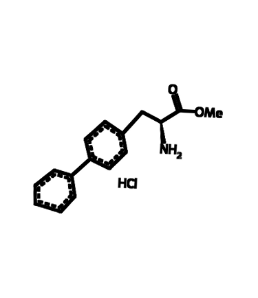 COC(=O)[C@@H](N)Cc1ccc(-c2ccccc2)cc1.Cl